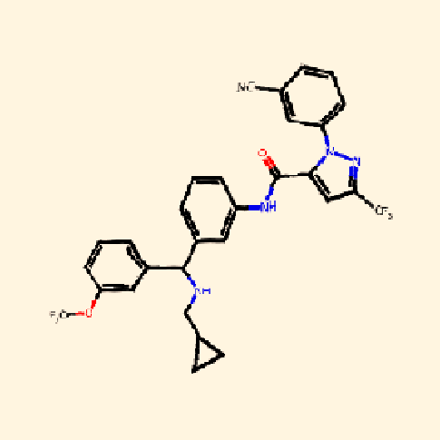 N#Cc1cccc(-n2nc(C(F)(F)F)cc2C(=O)Nc2cccc(C(NCC3CC3)c3cccc(OC(F)(F)F)c3)c2)c1